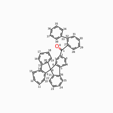 O=C(c1ccc2c(c1)C1(c3ccccc3-c3ccccc31)c1ccccc1-2)c1ccccc1-c1ccccc1